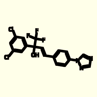 OC(C=Cc1ccc(-n2cncn2)cc1)(c1cc(Cl)cc(Cl)c1)C(F)(F)F